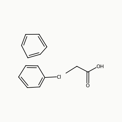 CCC(=O)O.Clc1ccccc1.c1ccccc1